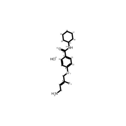 Cl.NC/C=C(\F)COc1ccc(C(=O)NC2CCCCC2)cc1